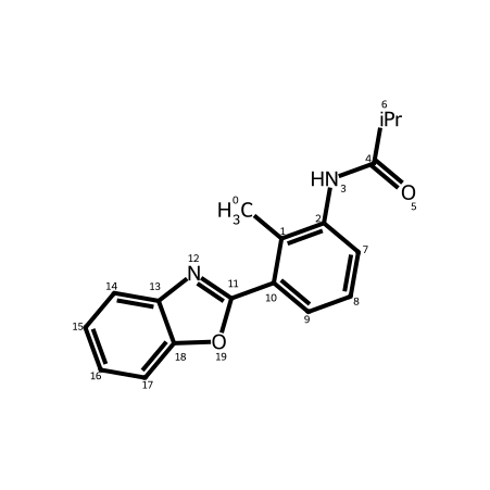 Cc1c(NC(=O)C(C)C)cccc1-c1nc2ccccc2o1